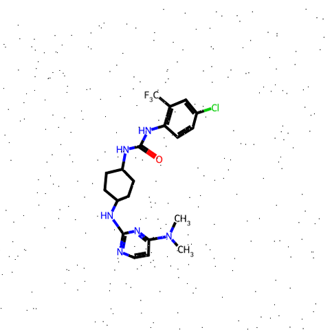 CN(C)c1ccnc(NC2CCC(NC(=O)Nc3ccc(Cl)cc3C(F)(F)F)CC2)n1